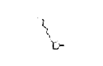 CCCCCCOC1CCC(=O)O1